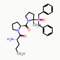 N[C@@H](CCC(=O)O)C(=O)N1CCC[C@H]1C(=O)N1CCC[C@]1(C(=O)O)P(=O)(Cc1ccccc1)Cc1ccccc1